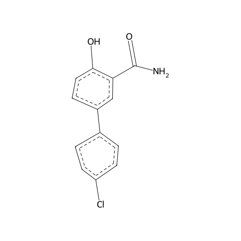 NC(=O)c1cc(-c2ccc(Cl)cc2)ccc1O